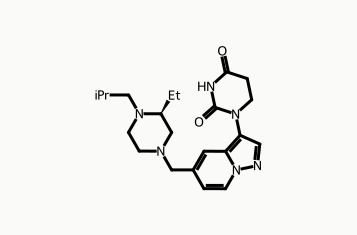 CC[C@H]1CN(Cc2ccn3ncc(N4CCC(=O)NC4=O)c3c2)CCN1CC(C)C